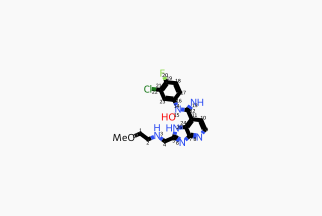 COCCNCc1nc2nccc(C(=N)N(O)c3ccc(F)c(Cl)c3)c2[nH]1